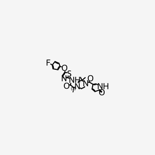 C[C@@H](C(=O)Nc1ncc(Oc2ccc(F)cc2)s1)N1CCN(C(=O)c2ccc(=O)[nH]c2)C(C)(C)C1